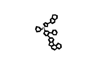 C1=CCCC(c2cc(N(C3=CC=C(c4ccc5c(c4)CCC=C5)C3)c3ccccc3)ccc2-c2ccc3c(c2)Cc2ccc4ccccc4c2-3)=C1